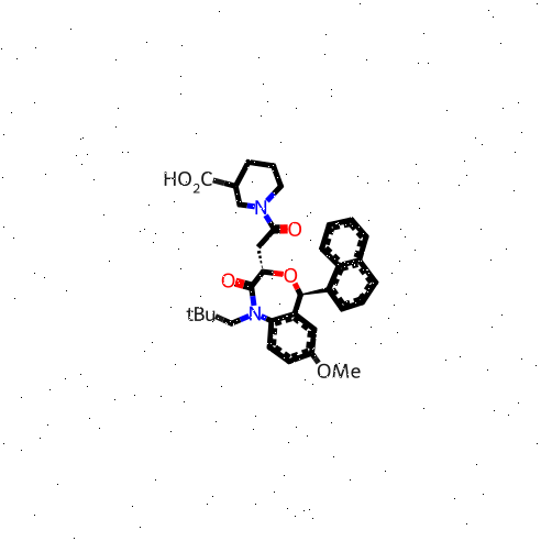 COc1ccc2c(c1)[C@H](c1cccc3ccccc13)O[C@@H](CC(=O)N1CCCC(C(=O)O)C1)C(=O)N2CC(C)(C)C